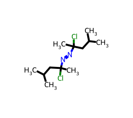 CC(C)CC(C)(Cl)/N=N/C(C)(Cl)CC(C)C